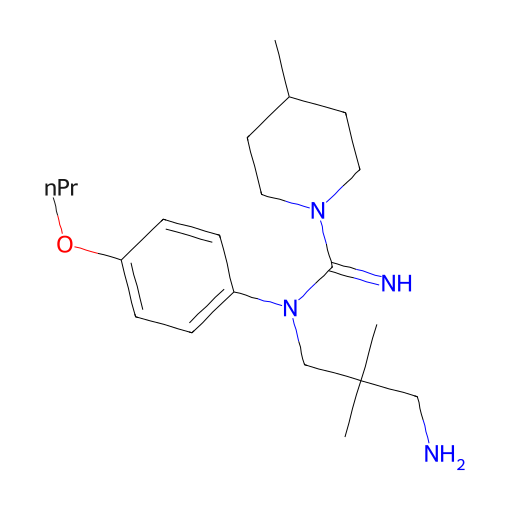 CCCOc1ccc(N(CC(C)(C)CN)C(=N)N2CCC(C)CC2)cc1